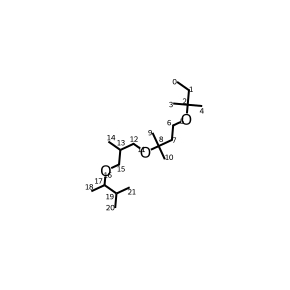 CCC(C)(C)OCCC(C)(C)OCC(C)COC(C)C(C)C